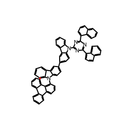 c1ccc2c(-c3nc(-c4cccc5ccccc45)nc(-n4c5ccccc5c5cc(-c6ccc7c(c6)c6ccccc6n7-c6cccc7c8ccccc8c8ccccc8c67)ccc54)n3)cccc2c1